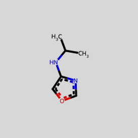 CC(C)Nc1cocn1